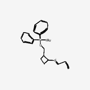 C=CCSC1CCC1CO[Si](c1ccccc1)(c1ccccc1)C(C)(C)C